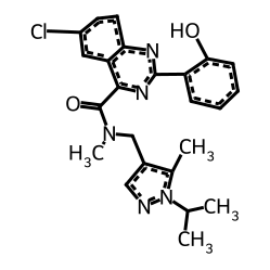 Cc1c(CN(C)C(=O)c2nc(-c3ccccc3O)nc3ccc(Cl)cc23)cnn1C(C)C